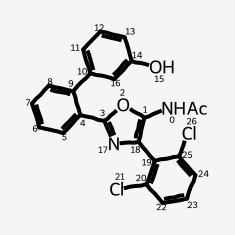 CC(=O)Nc1oc(-c2ccccc2-c2cccc(O)c2)nc1-c1c(Cl)cccc1Cl